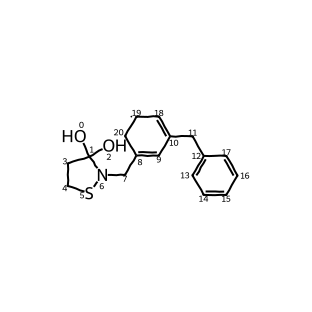 OC1(O)CCSN1CC1=CC(Cc2ccccc2)=C[CH]C1